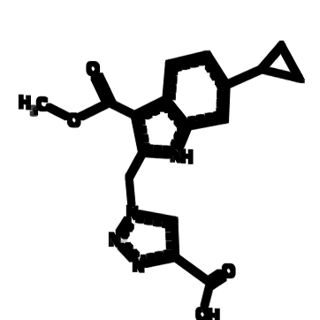 COC(=O)c1c(Cn2cc(C(=O)O)nn2)[nH]c2cc(C3CC3)ccc12